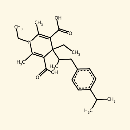 CCN1C(C)=C(C(=O)O)C(CC)(C(C)Cc2ccc(C(C)C)cc2)C(C(=O)O)=C1C